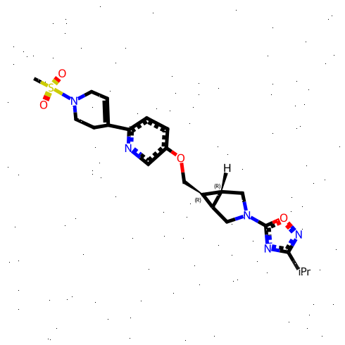 CC(C)c1noc(N2CC3[C@@H](COc4ccc(C5=CCN(S(C)(=O)=O)CC5)nc4)[C@@H]3C2)n1